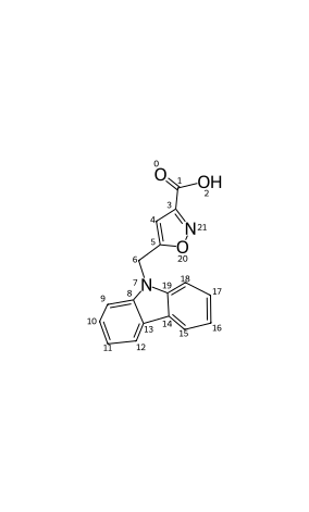 O=C(O)c1cc(Cn2c3ccccc3c3ccccc32)on1